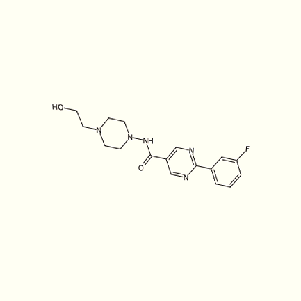 O=C(NN1CCN(CCO)CC1)c1cnc(-c2cccc(F)c2)nc1